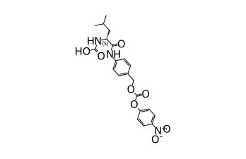 CC(C)C[C@H](NC(=O)O)C(=O)Nc1ccc(COC(=O)Oc2ccc([N+](=O)[O-])cc2)cc1